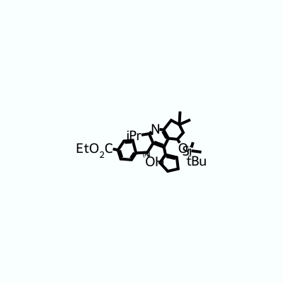 CCOC(=O)c1ccc([C@@H](O)c2c(C(C)C)nc3c(c2C2=CCCC2)C(O[Si](C)(C)C(C)(C)C)CC(C)(C)C3)cc1